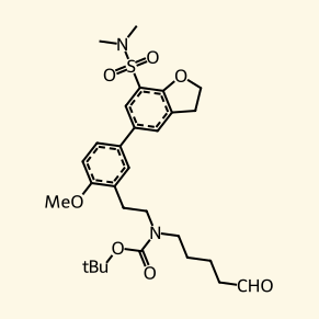 COc1ccc(-c2cc3c(c(S(=O)(=O)N(C)C)c2)OCC3)cc1CCN(CCCCC=O)C(=O)OC(C)(C)C